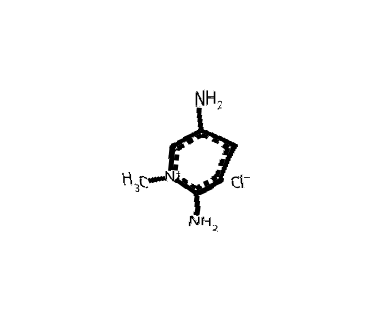 C[n+]1cc(N)ccc1N.[Cl-]